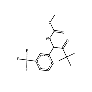 COC(=O)NC(C(=O)C(C)(C)C)c1cccc(C(F)(F)F)c1